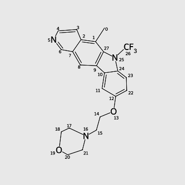 Cc1c2ccncc2cc2c3cc(OCCN4CCOCC4)ccc3n(C(F)(F)F)c12